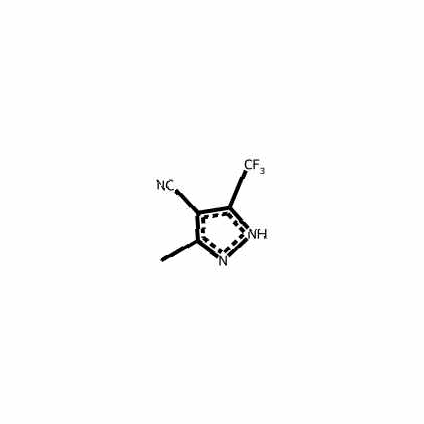 Cc1n[nH]c(C(F)(F)F)c1C#N